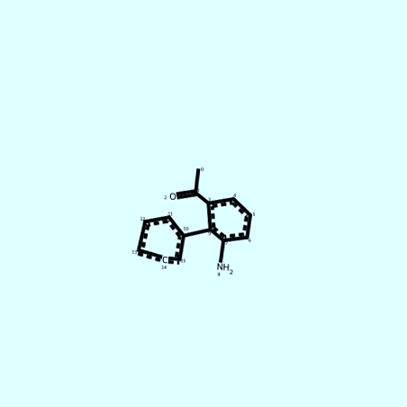 CC(=O)c1cccc(N)c1-c1ccccc1